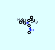 CC1(C)c2ccccc2-c2ccc(N(c3ccc(C=NNc4ccccc4)cc3)c3ccc4c(c3)C(C)(C)c3ccccc3-4)cc21